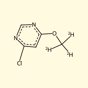 [2H]C([2H])([2H])Oc1cc(Cl)ncn1